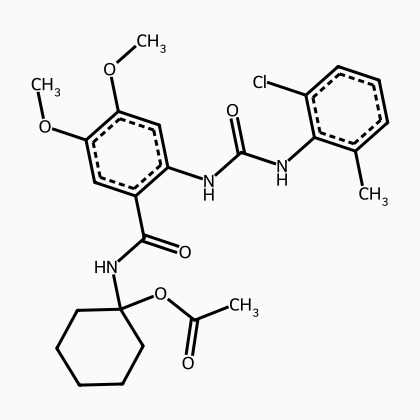 COc1cc(NC(=O)Nc2c(C)cccc2Cl)c(C(=O)NC2(OC(C)=O)CCCCC2)cc1OC